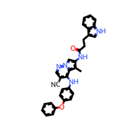 Cc1c(NC(=O)CCc2c[nH]c3ccccc23)cn2ncc(C#N)c(Nc3ccc(Oc4ccccc4)cc3)c12